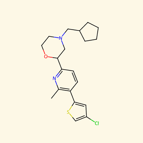 Cc1nc(C2CN(CC3CCCC3)CCO2)ccc1-c1cc(Cl)cs1